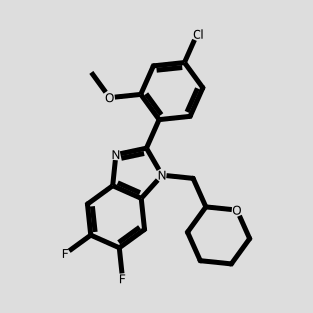 COc1cc(Cl)ccc1-c1nc2cc(F)c(F)cc2n1CC1CCCCO1